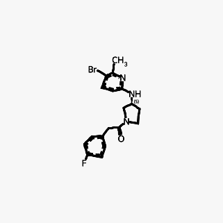 Cc1nc(N[C@H]2CCN(C(=O)Cc3ccc(F)cc3)C2)ccc1Br